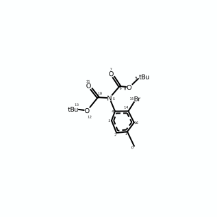 Cc1ccc(N(C(=O)OC(C)(C)C)C(=O)OC(C)(C)C)c(Br)c1